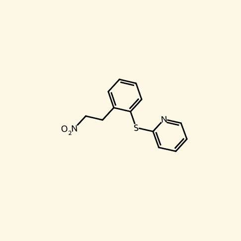 O=[N+]([O-])CCc1ccccc1Sc1ccccn1